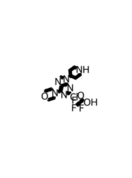 Clc1nc(N2CCOCC2)c2ncn(C3CCNCC3)c2n1.O=C(O)C(F)(F)F